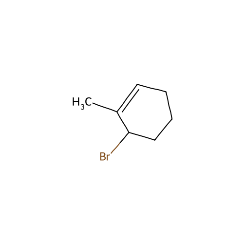 CC1=CCCCC1Br